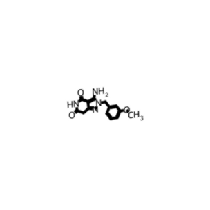 COc1cccc(Cn2nc3c(c2N)C(=O)NC(=O)C3)c1